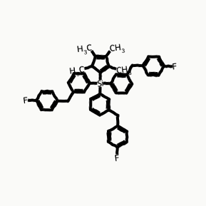 CC1=C(C)C(C)C([Si](c2cccc(Cc3ccc(F)cc3)c2)(c2cccc(Cc3ccc(F)cc3)c2)c2cccc(Cc3ccc(F)cc3)c2)=C1C